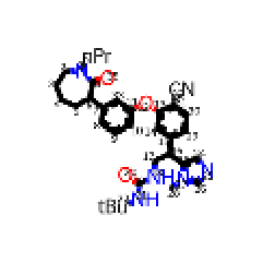 CCCN1CCCCC(c2cccc(Oc3cc(C(CNC(=O)NC(C)(C)C)c4cncn4C)ccc3C#N)c2)C1=O